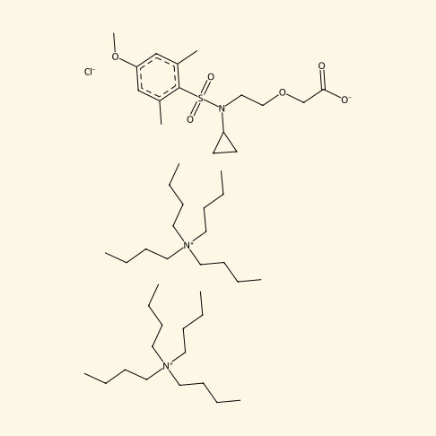 CCCC[N+](CCCC)(CCCC)CCCC.CCCC[N+](CCCC)(CCCC)CCCC.COc1cc(C)c(S(=O)(=O)N(CCOCC(=O)[O-])C2CC2)c(C)c1.[Cl-]